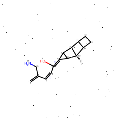 C=C(/C=C\C(O)=C1\C2C1[C@H]1C3CCC3C21)CN